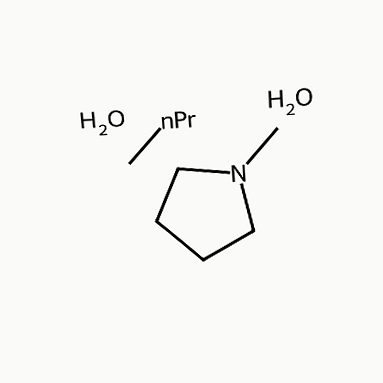 CCCC.CN1CCCC1.O.O